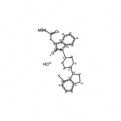 CNC(=O)Cn1c(=O)n(C2CCN(C3CCc4cccc(C)c43)CC2)c2ccccc21.Cl